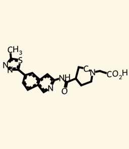 Cc1nnc(-c2ccc3cnc(NC(=O)C4CCN(CC(=O)O)CC4)cc3c2)s1